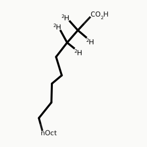 [2H]C([2H])(CCCCCCCCCCCCC)C([2H])([2H])C(=O)O